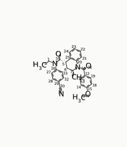 CCN(C(=O)[C@H]1C[C@H](C)N(C(=O)c2ccc(OC)cc2)c2ccccc21)c1ccc(C#N)cc1